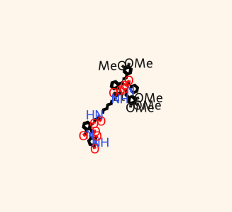 CC[C@@H](C(=O)N1CCCC[C@@H]1C(=O)O[C@@H](CCc1ccc(OC)c(OC)c1)c1ccccc1OCC(=O)NCCCCCCNC(=O)COc1cccc2c1C(=O)N(C1CCC(=O)NC1=O)C2=O)c1cc(OC)c(OC)c(OC)c1